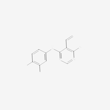 C=Cc1c(N)ncnc1Nc1ccc(F)c(Cl)c1